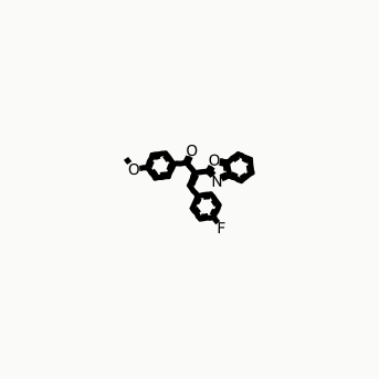 COc1ccc(C(=O)/C(=C/c2ccc(F)cc2)c2nc3ccccc3o2)cc1